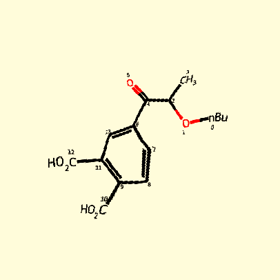 CCCCOC(C)C(=O)c1ccc(C(=O)O)c(C(=O)O)c1